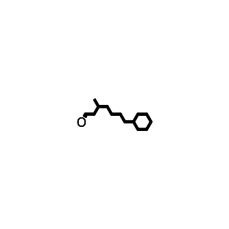 CC(CC=O)CCCCC1CCCCC1